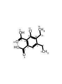 CCc1cc(C(=O)O)c(C(=O)O)c(Cl)c1CC